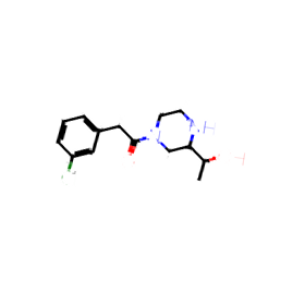 CC(O)C1CN(C(=O)Cc2cccc(Cl)c2)CCN1